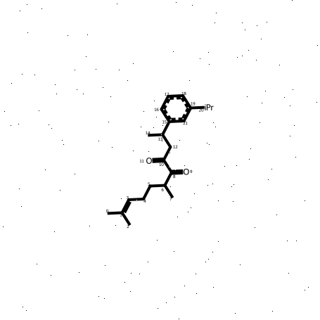 CC(C)=CCCC(C)C(=O)C(=O)CC(C)c1cccc(C(C)C)c1